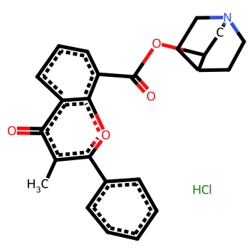 Cc1c(-c2ccccc2)oc2c(C(=O)OC3CN4CCC3CC4)cccc2c1=O.Cl